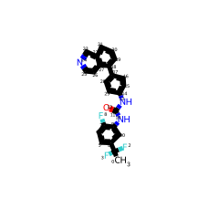 CC(F)(F)c1ccc(F)c(NC(=O)Nc2ccc(-c3cccc4cnccc34)cc2)c1